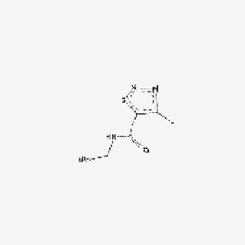 Cc1nnsc1C(=O)NCC(C)C